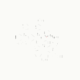 Cc1cc2c3c(c1)N(c1ccc4c(c1)C(C)(C)CCC4(C)C)c1c(sc4ccc(C(C)(C)C)cc14)B3c1cc3c(cc1N2c1ccc(C(C)(C)C)cc1-c1ccc(C(C)(C)C)cc1)N(c1ccccc1)c1ccccc1C3(C)C